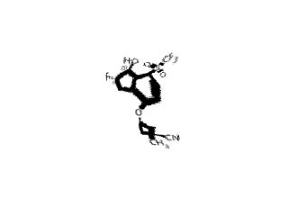 C[C@]1(C#N)C[C@H](Oc2ccc(S(=O)(=O)C(F)(F)F)c3c2C[C@H](F)[C@H]3O)C1